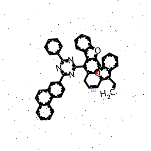 C=Cc1c(/C=C\Cc2ccc3oc4ccccc4c3c2-c2nc(-c3ccccc3)nc(-c3ccc4c(ccc5ccccc54)c3)n2)oc2ccccc12